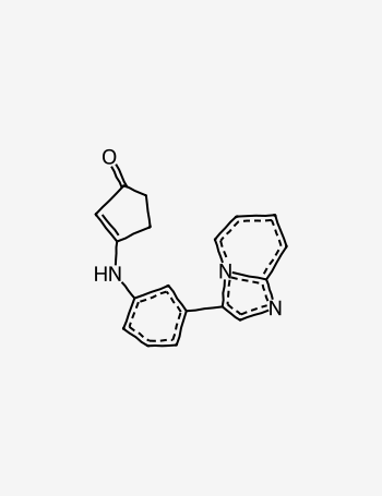 O=C1C=C(Nc2cccc(-c3cnc4ccccn34)c2)CC1